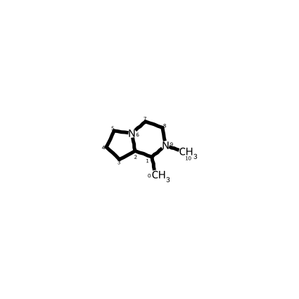 CC1C2CCCN2CCN1C